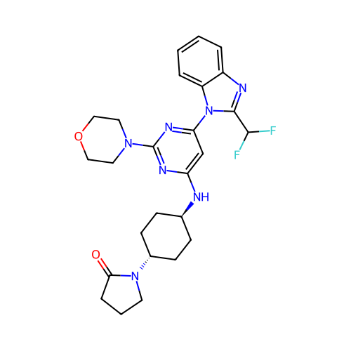 O=C1CCCN1[C@H]1CC[C@H](Nc2cc(-n3c(C(F)F)nc4ccccc43)nc(N3CCOCC3)n2)CC1